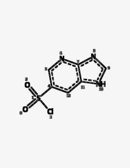 O=S(=O)(Cl)c1cnc2nc[nH]c2c1